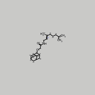 C/C(=C\CNC(=O)COC1C2CC3CC(C2)CC1C3)CCCC(C)C